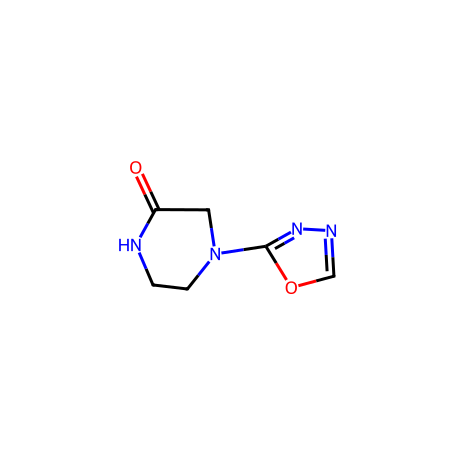 O=C1CN(c2nnco2)CCN1